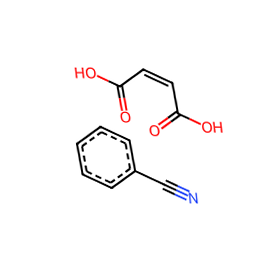 N#Cc1ccccc1.O=C(O)/C=C\C(=O)O